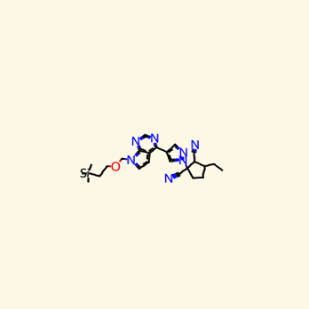 CCC1CCC(C#N)(n2cc(-c3ncnc4c3ccn4COCC[Si](C)(C)C)cn2)C1C#N